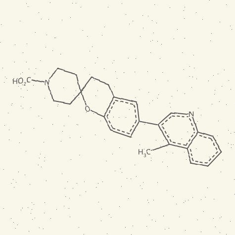 Cc1c(-c2ccc3c(c2)CCC2(CCN(C(=O)O)CC2)O3)cnc2ccccc12